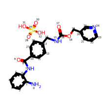 Nc1ccccc1NC(=O)c1ccc(CNC(=O)OCc2cccnc2)cc1.O=S(=O)(O)O